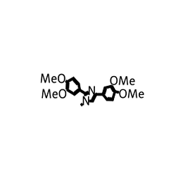 COc1ccc(-c2cn(C)c(-c3ccc(OC)c(OC)c3)n2)cc1OC